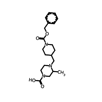 CC1CN(C(=O)O)CCN1CC1CCN(C(=O)OCc2ccccc2)CC1